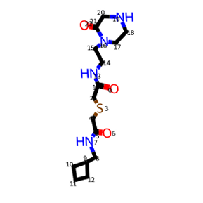 O=C(CSCC(=O)NCC1CCC1)NCCN1CCNCC1=O